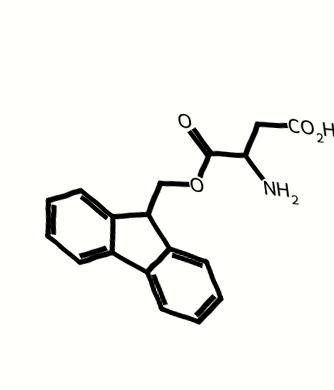 NC(CC(=O)O)C(=O)OCC1c2ccccc2-c2ccccc21